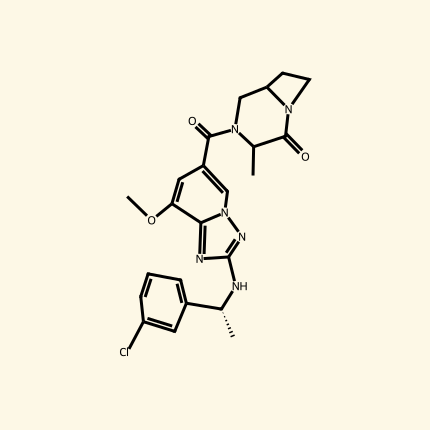 COc1cc(C(=O)N2CC3CCN3C(=O)C2C)cn2nc(N[C@H](C)c3cccc(Cl)c3)nc12